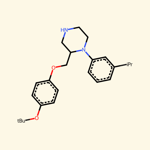 CC(C)c1cccc(N2CCNCC2COc2ccc(OC(C)(C)C)cc2)c1